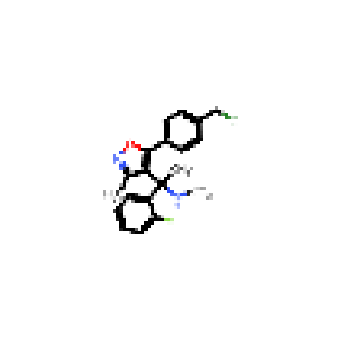 [CH2]C(NC(=O)O)(c1ccccc1F)c1c(C)noc1-c1ccc(CCl)cc1